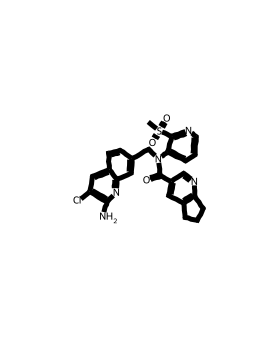 CS(=O)(=O)c1ncccc1N(Cc1ccc2cc(Cl)c(N)nc2c1)C(=O)c1cnc2c(c1)CCC2